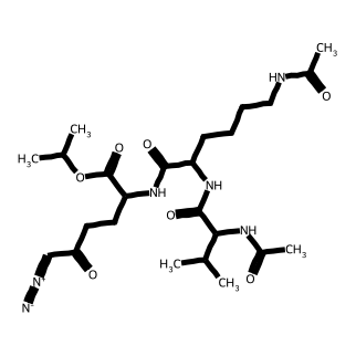 CC(=O)NCCCCC(NC(=O)C(NC(C)=O)C(C)C)C(=O)NC(CCC(=O)C=[N+]=[N-])C(=O)OC(C)C